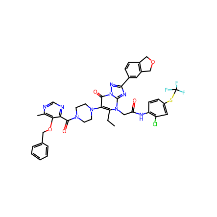 CCc1c(N2CCN(C(=O)c3ncnc(C)c3OCc3ccccc3)CC2)c(=O)n2nc(-c3ccc4c(c3)COC4)nc2n1CC(=O)Nc1ccc(SC(F)(F)F)cc1Cl